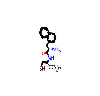 N[C@@H](Cc1cccc2ccccc12)C(=O)N[C@@H](CS)C(=O)O